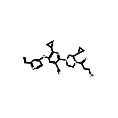 C=Cc1cc(Oc2cc(C#N)c(N3CCN(C(=O)CCO)C(C4CC4)C3)nc2C2CC2)ccn1